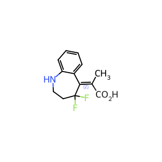 C/C(C(=O)O)=C1\c2ccccc2NCCC1(F)F